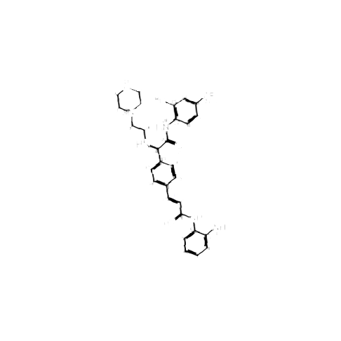 Nc1ccccc1NC(=O)/C=C/c1ccc(C(NCCN2CCOCC2)C(=O)Nc2ccc(C(F)(F)F)cc2F)cc1